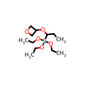 CCO[Si](OCC)(OCC)C(CC)OC1COC1